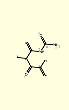 C=C(C)C(=O)C(C)C(=C)NC(N)=O